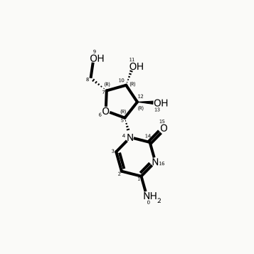 Nc1ccn([C@@H]2O[C@H](CO)[C@H](O)[C@H]2O)c(=O)n1